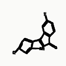 O=C1c2ccc(F)cc2-c2c1[nH]c1cc(Cl)ccc21